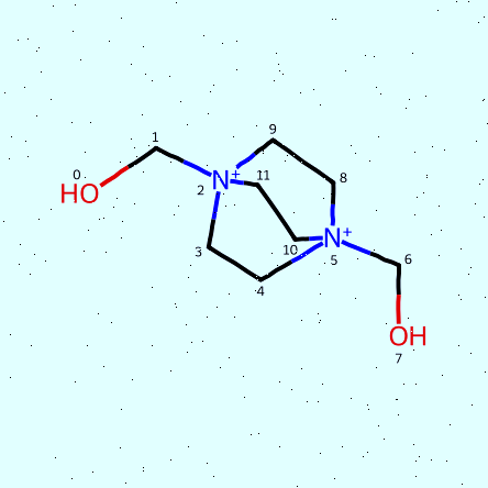 OC[N+]12CC[N+](CO)(CC1)CC2